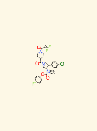 CCN(C(=O)Oc1ccc(F)cc1)C1CN(C(=O)C2CCN(C(=O)C3CC3(F)F)CC2)CC1c1ccc(Cl)cc1